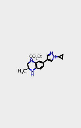 CCOC(=O)N1C[C@H](C)Nc2ccc(-c3cnn(C4CC4)c3)cc21